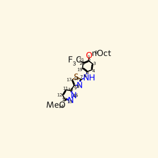 CCCCCCCCOc1ccc(Nc2nc(-c3ccc(OC)nn3)cs2)cc1C(F)(F)F